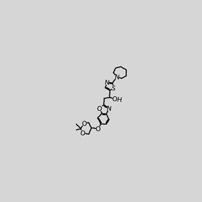 CC1(C)OCC(Oc2ccc3nc(CC(O)c4cnc(N5CCCCCC5)s4)oc3c2)CO1